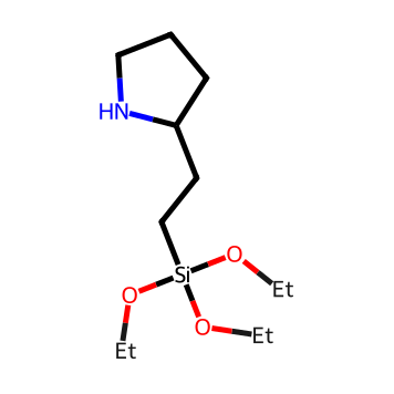 CCO[Si](CCC1CCCN1)(OCC)OCC